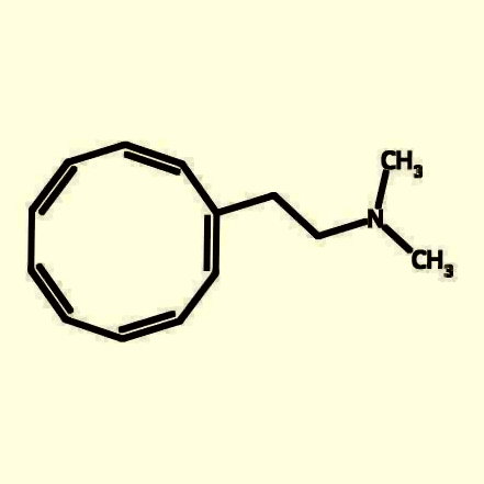 CN(C)CCc1ccccccccc1